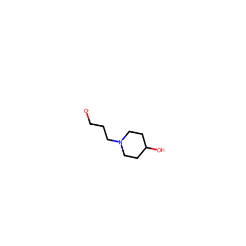 [O]CCCN1CCC(O)CC1